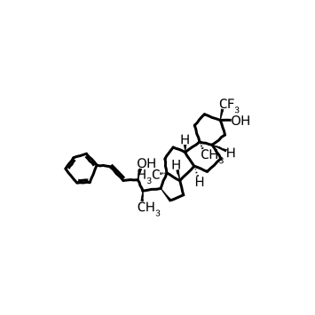 C[C@@H]([C@H](O)/C=C/c1ccccc1)[C@@H]1CC[C@H]2[C@@H]3CC[C@H]4C[C@](O)(C(F)(F)F)CC[C@]4(C)[C@H]3CC[C@]12C